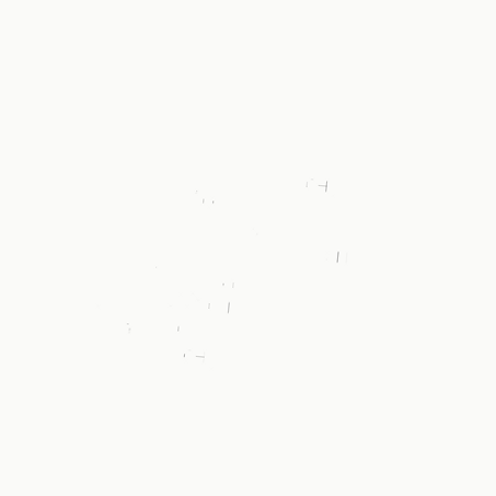 CC(C)C(=O)OC1CC2CCC1C2(C)C